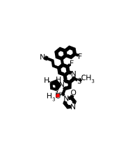 CSc1nc2c(F)c(-c3cccc4ccc(F)cc34)c(CCC#N)cc2c2c1cc([C@@H](C)n1ccncc1=O)n2[C@@H]1[C@@H]2CC[C@H]1C2